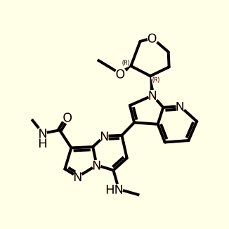 CNC(=O)c1cnn2c(NC)cc(-c3cn([C@@H]4CCOC[C@@H]4OC)c4ncccc34)nc12